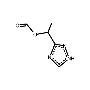 CC(OC=O)c1nc[nH]n1